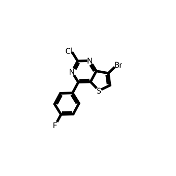 Fc1ccc(-c2nc(Cl)nc3c(Br)csc23)cc1